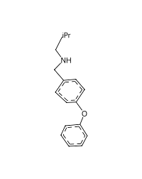 CC(C)CNCc1ccc(Oc2ccccc2)cc1